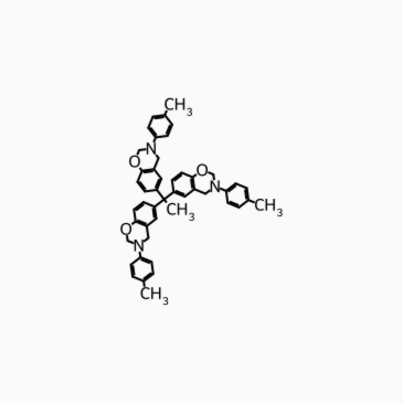 Cc1ccc(N2COc3ccc(C(C)(c4ccc5c(c4)CN(c4ccc(C)cc4)CO5)c4ccc5c(c4)CN(c4ccc(C)cc4)CO5)cc3C2)cc1